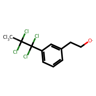 [O]CCc1cccc(C(Cl)(Cl)C(Cl)(Cl)C(Cl)(Cl)Cl)c1